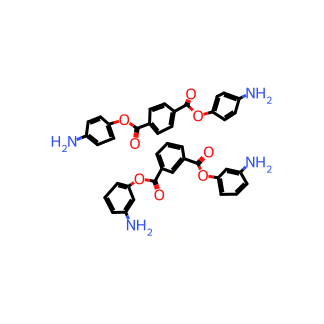 Nc1ccc(OC(=O)c2ccc(C(=O)Oc3ccc(N)cc3)cc2)cc1.Nc1cccc(OC(=O)c2cccc(C(=O)Oc3cccc(N)c3)c2)c1